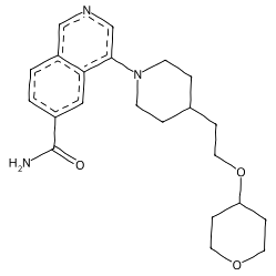 NC(=O)c1ccc2cncc(N3CCC(CCOC4CCOCC4)CC3)c2c1